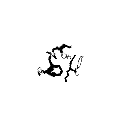 CCC(O)C[N+](C)(C)Cc1ccccc1OC.CCCCC(CC)C(=O)[O-]